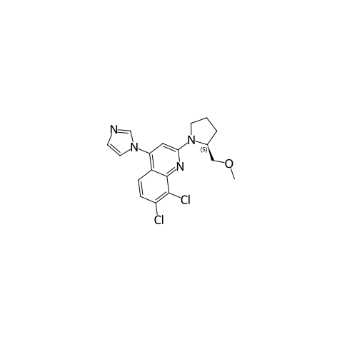 COC[C@@H]1CCCN1c1cc(-n2ccnc2)c2ccc(Cl)c(Cl)c2n1